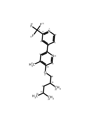 Cc1cc(-c2ccnc(C(F)(F)F)c2)ncc1OCC(C)CC(C)C